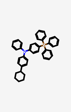 c1ccc(N(c2ccc(C3CCCCC3)cc2)c2ccc(S(c3ccccc3)(c3ccccc3)c3ccccc3)cc2)cc1